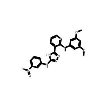 COc1cc(Nc2ncccc2-c2nnc(Nc3cccc([N+](=O)[O-])c3)[nH]2)cc(OC)c1